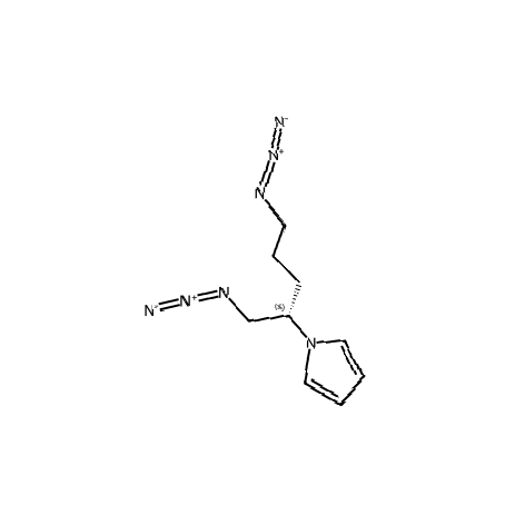 [N-]=[N+]=NCCC[C@@H](CN=[N+]=[N-])n1cccc1